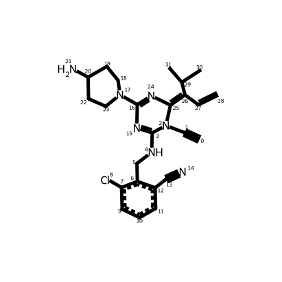 C#CN1C(NCc2c(Cl)cccc2C#N)=NC(N2CCC(N)CC2)=N/C1=C(/C=C)C(C)C